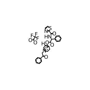 O=C(C[N+]12CCC(CC1)[C@@H](OC(=O)C(NC(=O)c1nccs1)c1ccccc1)C2)c1ccccc1.O=C([O-])C(F)(F)F